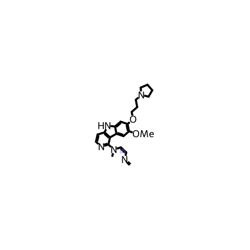 C=N/C=C\N(C)c1nccc2[nH]c3cc(OCCCN4CCCC4)c(OC)cc3c12